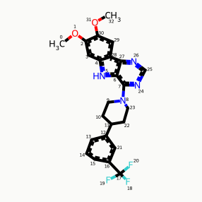 COc1cc2[nH]c3c(N4CCC(c5cccc(C(F)(F)F)c5)CC4)ncnc3c2cc1OC